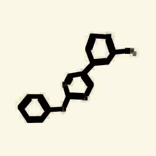 Nc1cc(-c2cnc(Oc3ccccc3)nc2)ccn1